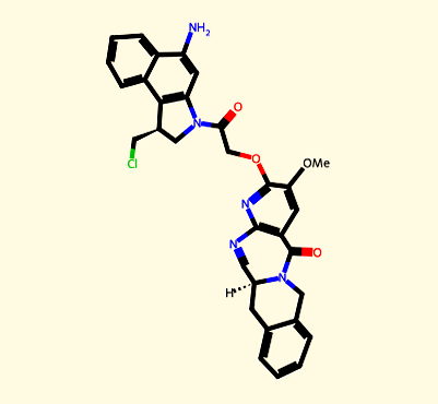 COc1cc2c(nc1OCC(=O)N1C[C@@H](CCl)c3c1cc(N)c1ccccc31)N=C[C@@H]1Cc3ccccc3CN1C2=O